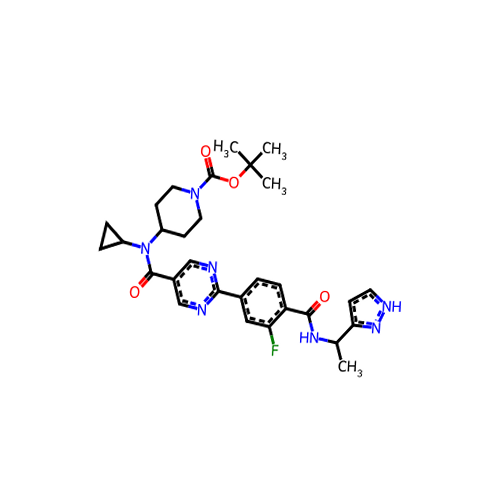 CC(NC(=O)c1ccc(-c2ncc(C(=O)N(C3CC3)C3CCN(C(=O)OC(C)(C)C)CC3)cn2)cc1F)c1cc[nH]n1